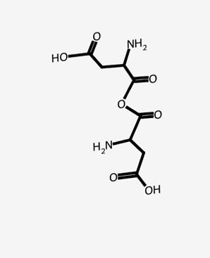 NC(CC(=O)O)C(=O)OC(=O)C(N)CC(=O)O